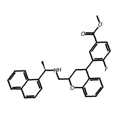 COC(=O)c1ccc(F)c(C2CC(CN[C@H](C)c3cccc4ccccc34)Oc3ccccc32)c1